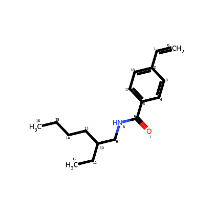 C=Cc1ccc(C(=O)NCC(CC)CCCC)cc1